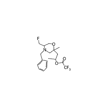 CC(CC1(C)CN(Cc2ccccc2)C(CF)CO1)OC(=O)C(F)(F)F